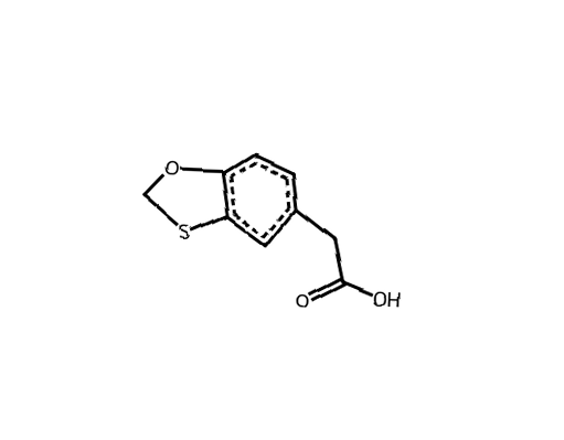 O=C(O)Cc1ccc2c(c1)SCO2